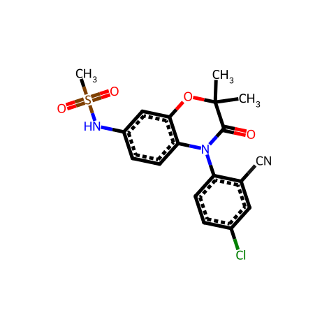 CC1(C)Oc2cc(NS(C)(=O)=O)ccc2N(c2ccc(Cl)cc2C#N)C1=O